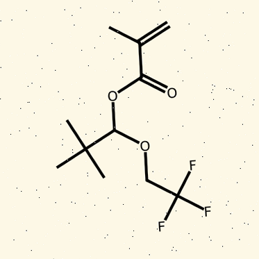 C=C(C)C(=O)OC(OCC(F)(F)F)C(C)(C)C